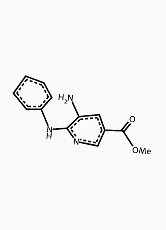 COC(=O)c1cnc(Nc2ccccc2)c(N)c1